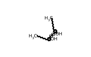 CCCCCCCCCc1ccc(O)c(SSSSc2cc(CCCCCCCCC)ccc2O)c1